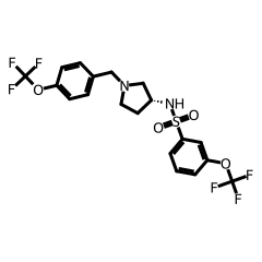 O=S(=O)(N[C@@H]1CCN(Cc2ccc(OC(F)(F)F)cc2)C1)c1cccc(OC(F)(F)F)c1